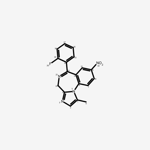 Cc1cnc2n1-c1ccc([N+](=O)[O-])cc1C(c1ccccc1F)=NC2